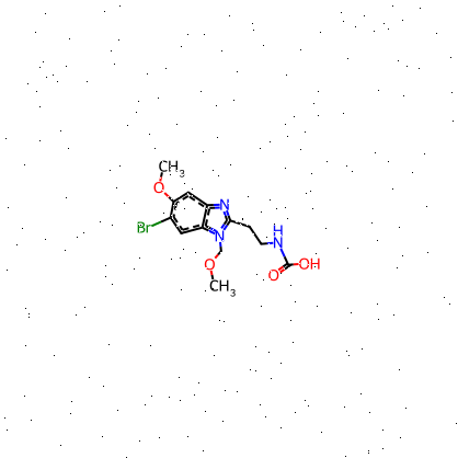 COCn1c(CCNC(=O)O)nc2cc(OC)c(Br)cc21